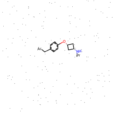 CC(=O)Cc1ccc(O[C@H]2C[C@@H](NC(C)C)C2)cc1